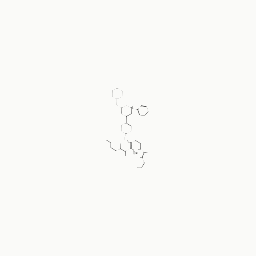 C=C/C=C\C(C)=C(/C)C1=C(NC2CC=C(C3=CC(C)(c4ccccc4)CC(CC4CCCCC4)C3)CC2)C=CC2C(C)=C(/C=C\C)SN12